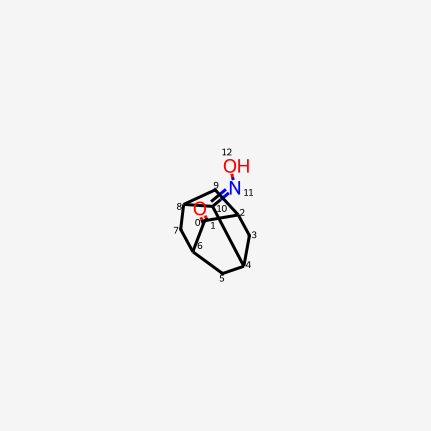 O=C1C2CC3CC1CC(C2)C3=NO